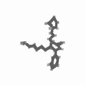 CCCCCCC1C(c2ccccc2)OC(=O)N1CCCN1CCCC1